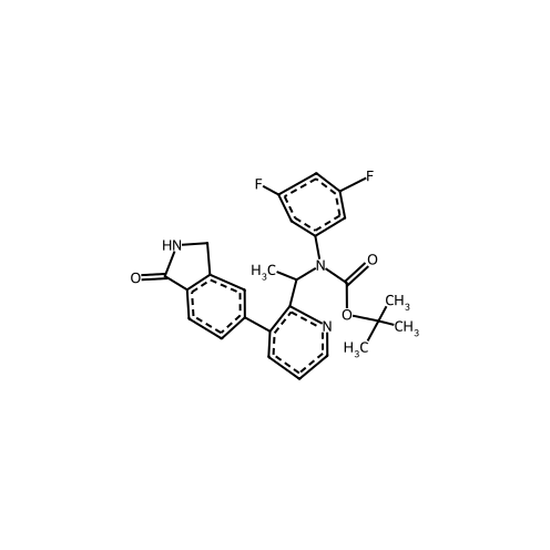 CC(c1ncccc1-c1ccc2c(c1)CNC2=O)N(C(=O)OC(C)(C)C)c1cc(F)cc(F)c1